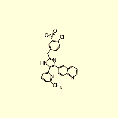 Cc1cccc(-c2[nH]c(Cc3ccc(Cl)c([N+](=O)[O-])c3)nc2-c2ccc3ncccc3c2)n1